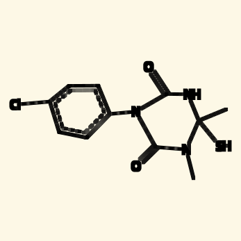 CN1C(=O)N(c2ccc(Cl)cc2)C(=O)NC1(C)S